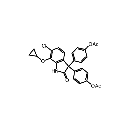 CC(=O)Oc1ccc(C2(c3ccc(OC(C)=O)cc3)C(=O)Nc3c2ccc(Cl)c3OC2CC2)cc1